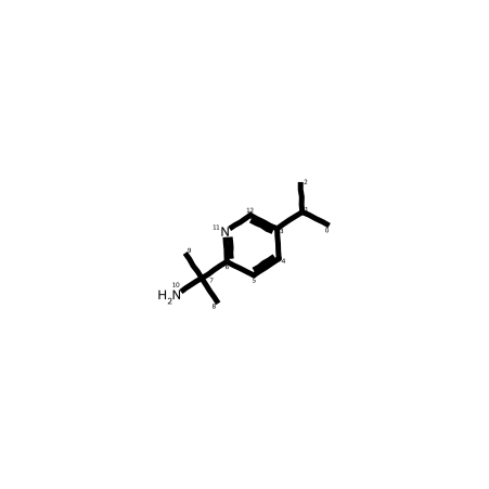 CC(C)c1ccc(C(C)(C)N)nc1